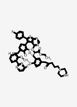 CCOC(=O)[C@@H](Cc1cc(CC(=O)CCCN2CCNCC2)ccc1OCc1ccnc(-c2ccccc2OC)n1)Oc1ncnc2sc(-c3ccc(F)cc3)c(-c3ccc(CN)c(Cl)c3C)c12